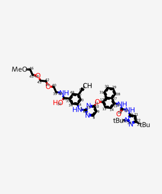 C#Cc1cc(Nc2nccc(Oc3ccc(NC(=O)Nc4cc(C(C)(C)C)nn4C(C)(C)C)c4ccccc34)n2)cc(C(O)NCCOCCOCCOC)c1